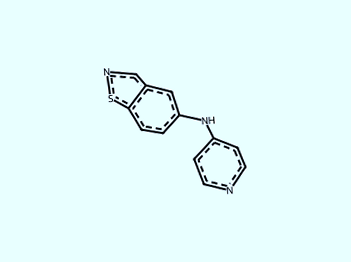 c1cc(Nc2ccc3sncc3c2)ccn1